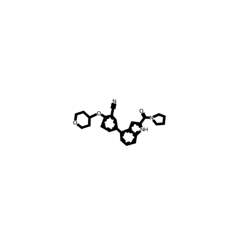 N#Cc1cc(-c2cccc3[nH]c(C(=O)N4CCCC4)cc23)ccc1OC1CCOCC1